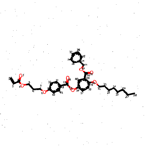 C=CC(=O)OCCCOc1ccc(C(=O)Oc2ccc(OCCCCCCCC)c(C(=O)OCc3ccccc3)c2)cc1